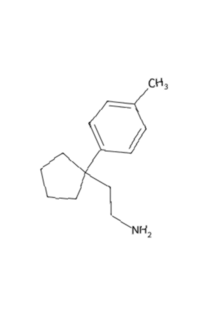 Cc1ccc(C2(CCN)CCCC2)cc1